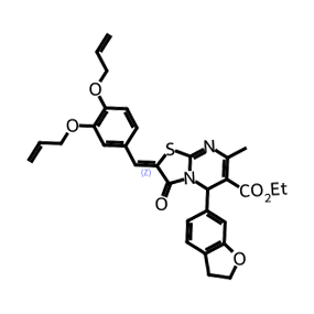 C=CCOc1ccc(/C=c2\sc3n(c2=O)C(c2ccc4c(c2)OCC4)C(C(=O)OCC)=C(C)N=3)cc1OCC=C